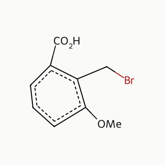 COc1cccc(C(=O)O)c1CBr